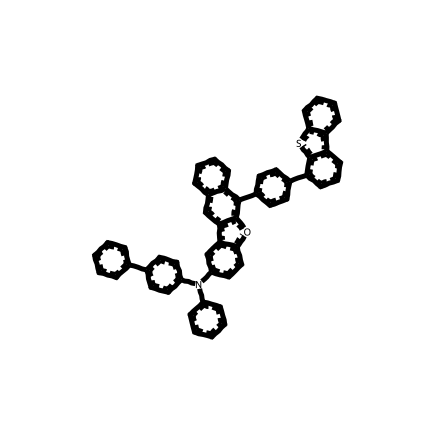 c1ccc(-c2ccc(N(c3ccccc3)c3ccc4oc5c(-c6ccc(-c7cccc8c7sc7ccccc78)cc6)c6ccccc6cc5c4c3)cc2)cc1